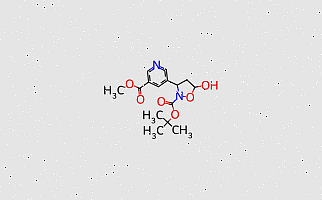 COC(=O)c1cncc(C2CC(O)ON2C(=O)OC(C)(C)C)c1